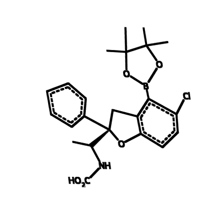 CC(NC(=O)O)[C@@]1(c2ccccc2)Cc2c(ccc(Cl)c2B2OC(C)(C)C(C)(C)O2)O1